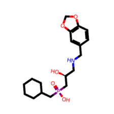 O=P(O)(CC1CCCCC1)C[C@@H](O)CNCc1ccc2c(c1)OCO2